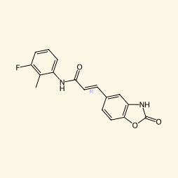 Cc1c(F)cccc1NC(=O)/C=C/c1ccc2oc(=O)[nH]c2c1